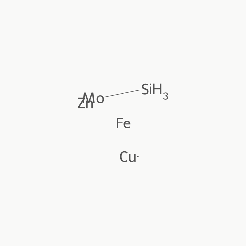 [Cu].[Fe].[SiH3][Mo].[Zn]